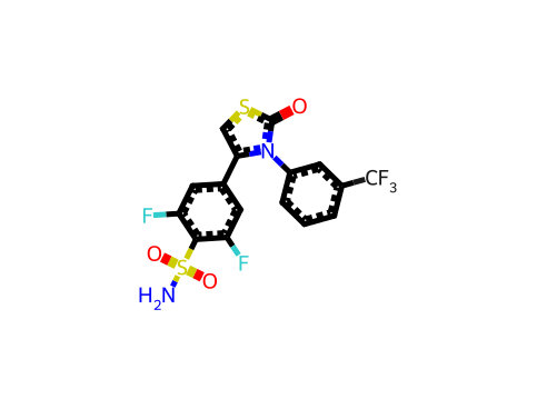 NS(=O)(=O)c1c(F)cc(-c2csc(=O)n2-c2cccc(C(F)(F)F)c2)cc1F